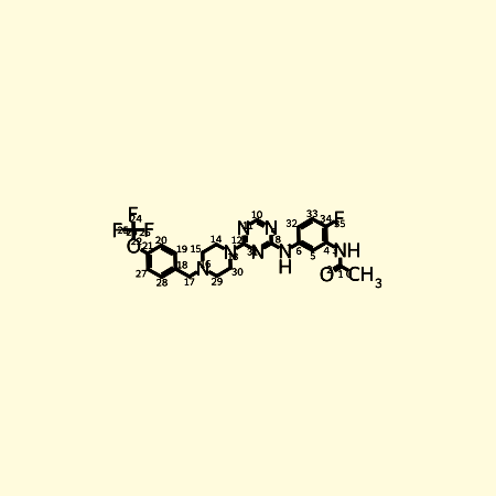 CC(=O)Nc1cc(Nc2ncnc(N3CCN(Cc4ccc(OC(F)(F)F)cc4)CC3)n2)ccc1F